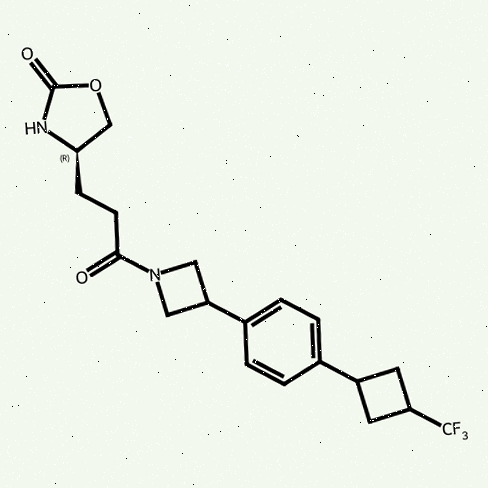 O=C1N[C@H](CCC(=O)N2CC(c3ccc(C4CC(C(F)(F)F)C4)cc3)C2)CO1